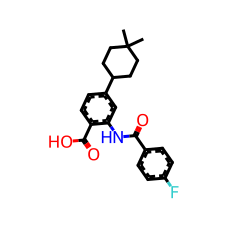 CC1(C)CCC(c2ccc(C(=O)O)c(NC(=O)c3ccc(F)cc3)c2)CC1